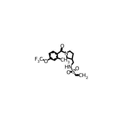 C=CS(=O)(=O)NCC1CCN(C(=O)c2ccc(OC(F)(F)F)cc2C)C1